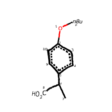 CCCCOc1ccc(C(C)C(=O)O)cc1